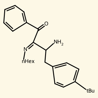 CCCCCCN=C(C(=O)c1ccccc1)C(N)Cc1ccc(C(C)(C)C)cc1